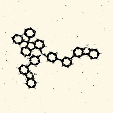 c1ccc(C2(c3ccccc3)c3ccccc3-c3c(N(c4ccc(-c5cccc(-c6ccc7oc8ccccc8c7c6)c5)cc4)c4ccc(-c5cccc6c5oc5ccccc56)cc4)cccc32)cc1